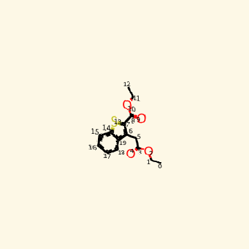 CCOC(=O)Cc1c(C(=O)OCC)sc2ccccc12